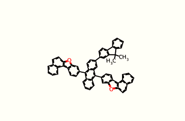 CC1(C)c2ccccc2-c2ccc(-c3ccc4c(-c5ccc6c(c5)oc5ccc7ccccc7c56)c5ccccc5c(-c5ccc6c(c5)oc5ccc7ccccc7c56)c4c3)cc21